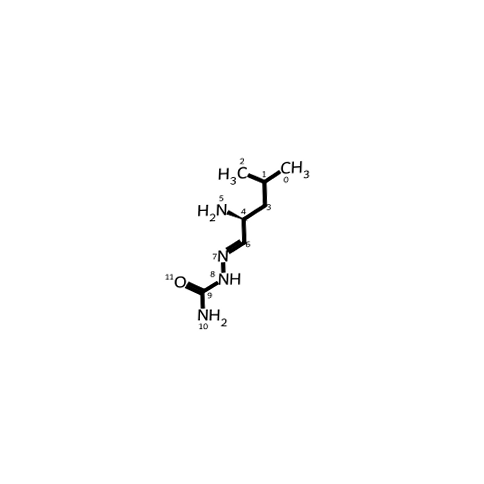 CC(C)C[C@H](N)/C=N/NC(N)=O